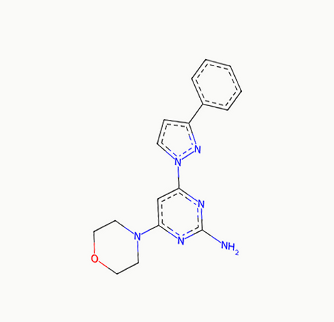 Nc1nc(N2CCOCC2)cc(-n2ccc(-c3ccccc3)n2)n1